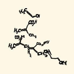 C=C(C)C(=O)O.C=C(C)C(=O)O.C=C(C)C(=O)O.C=CC#N.OCCO